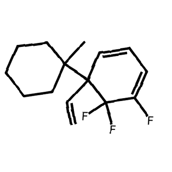 C=CC1(C2(C)CCCCC2)C=CC=C(F)C1(F)F